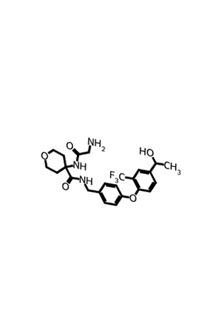 CC(O)c1ccc(Oc2ccc(CNC(=O)C3(NC(=O)CN)CCOCC3)cc2)c(C(F)(F)F)c1